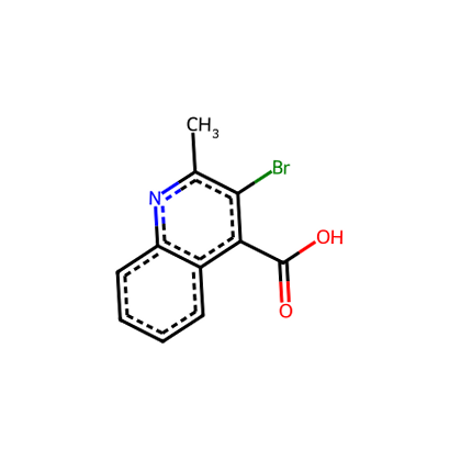 Cc1nc2ccccc2c(C(=O)O)c1Br